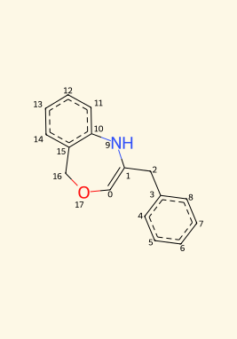 C1=C(Cc2ccccc2)Nc2ccccc2CO1